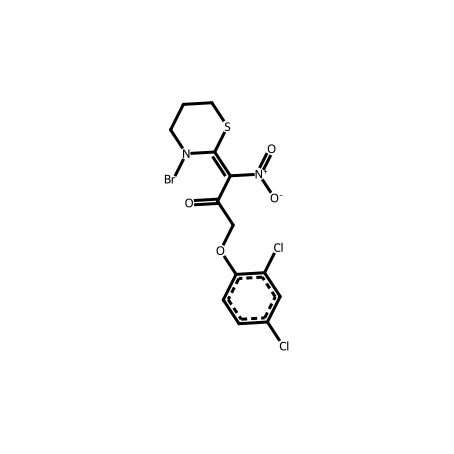 O=C(COc1ccc(Cl)cc1Cl)C(=C1SCCCN1Br)[N+](=O)[O-]